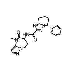 CN1C(=O)[C@@H](NC(=O)c2nc3n(n2)[C@@H](c2ccccc2)CCC3)CCn2nccc21